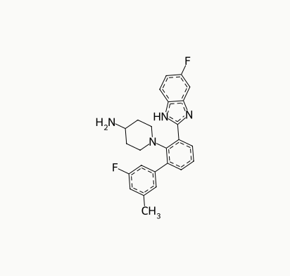 Cc1cc(F)cc(-c2cccc(-c3nc4cc(F)ccc4[nH]3)c2N2CCC(N)CC2)c1